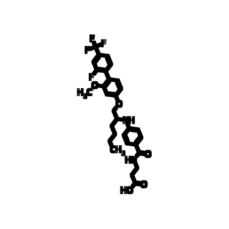 CCCCC(COc1ccc(-c2ccc(C(F)(F)F)cc2F)c(OC)c1)Nc1ccc(C(=O)NCCC(=O)O)cc1